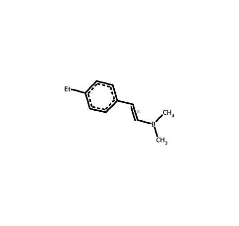 CCc1ccc(/C=C/B(C)C)cc1